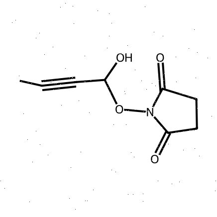 CC#CC(O)ON1C(=O)CCC1=O